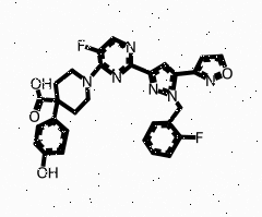 O=C(O)C1(c2ccc(O)cc2)CCN(c2nc(-c3cc(-c4ccon4)n(Cc4ccccc4F)n3)ncc2F)CC1